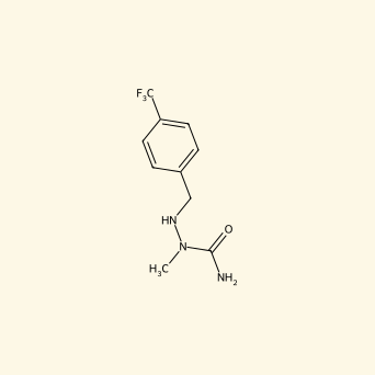 CN(NCc1ccc(C(F)(F)F)cc1)C(N)=O